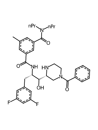 CCCN(CCC)C(=O)c1cc(C)cc(C(=O)N[C@@H](Cc2cc(F)cc(F)c2)C(O)[C@H]2CN(C(=O)c3ccccc3)CCN2)c1